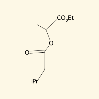 CCOC(=O)C(C)OC(=O)CC(C)C